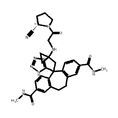 CNC(=O)c1ccc2c(c1)CCc1cc(C(=O)NC)ccc1C2(CC1(NCC(=O)N2CCC[C@H]2C#N)CC1)c1nnn[nH]1